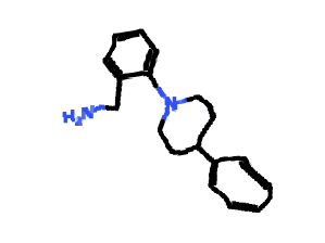 NCc1ccccc1N1CCC(c2ccccc2)CC1